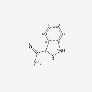 NC(=O)C1SNc2ccccc21